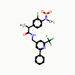 CC(C(=O)NCc1cc(-c2ccccc2)nc(C(F)(F)F)c1)c1ccc(N(C)[SH](=O)=O)c(F)c1